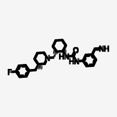 N=Cc1cccc(NC(=O)N[C@@H]2CCCC[C@H]2CN2CCC[C@H](Cc3ccc(F)cc3)C2)c1